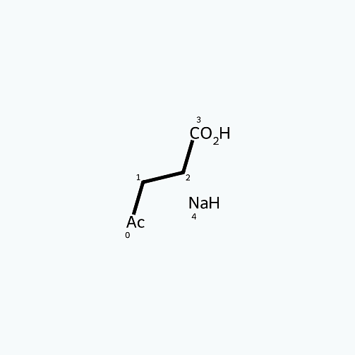 CC(=O)CCC(=O)O.[NaH]